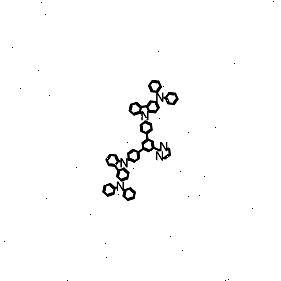 c1ccc(N(c2ccccc2)c2ccc3c(c2)c2ccccc2n3-c2ccc(-c3cc(-c4ccc(-n5c6ccccc6c6cc(N(c7ccccc7)c7ccccc7)ccc65)cc4)cc(-c4ncccn4)c3)cc2)cc1